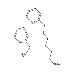 CNCCCCCCc1ccccc1.NCc1ccccc1